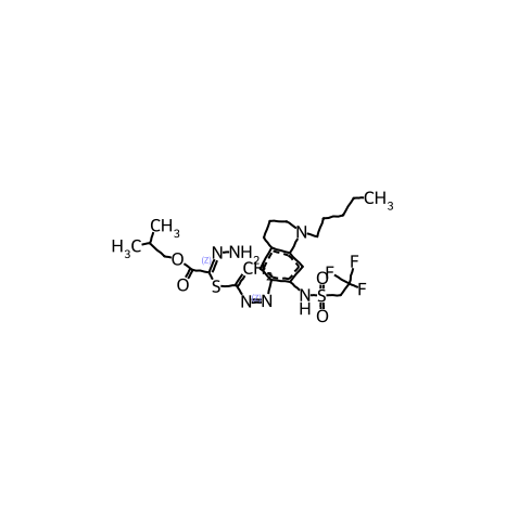 C=C(/N=N\c1cc2c(cc1NS(=O)(=O)CC(F)(F)F)N(CCCCC)CCC2)S/C(=N\N)C(=O)OCC(C)C